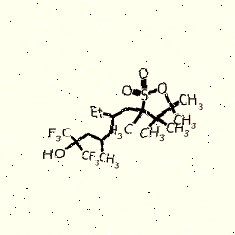 CCC(CC(C)CC(O)(C(F)(F)F)C(F)(F)F)CC1(C)C(C)(C)C(C)(C)OS1(=O)=O